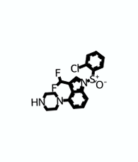 [O-][S+](c1ccccc1Cl)n1cc(C(F)F)c2c(N3CCNCC3)cccc21